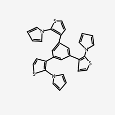 c1ccn(-c2sccc2-c2cc(-c3ccsc3-n3cccc3)cc(-c3ccsc3-n3cccc3)c2)c1